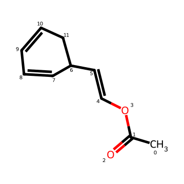 CC(=O)OC=CC1C=CC=CC1